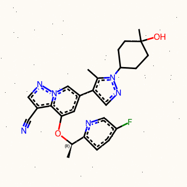 Cc1c(-c2cc(O[C@H](C)c3ccc(F)cn3)c3c(C#N)cnn3c2)cnn1C1CCC(C)(O)CC1